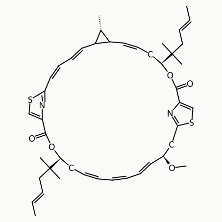 C/C=C/CC(C)(C)[C@@H]1C\C=C/C=C\C=C\[C@H](OC)Cc2nc(cs2)C(=O)O[C@H](C(C)(C)C/C=C/C)C/C=C\C2C(/C=C/C=C\c3nc(cs3)C(=O)O1)[C@@H]2C